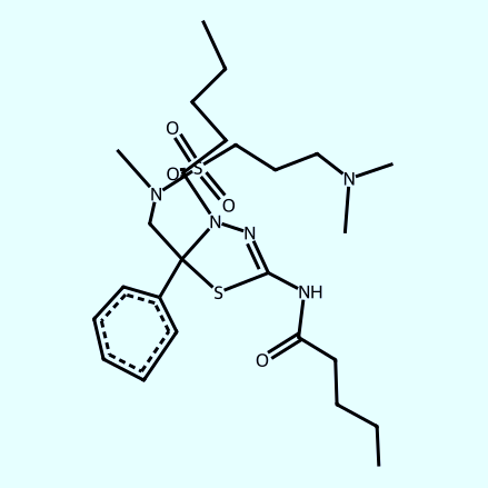 CCCCC(=O)NC1=NN(C(=O)CCCC)C(CN(C)S(=O)(=O)CCCN(C)C)(c2ccccc2)S1